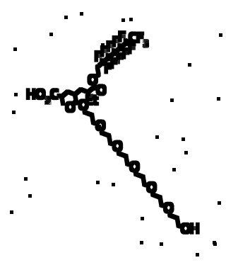 CCC(CC(CC(C)C(=O)O)C(=O)OCCCOCCCOCCCOCCCOCCCOCCCO)C(=O)OCCC(F)(F)C(F)(F)C(F)(F)C(F)(F)C(F)(F)C(F)(F)F